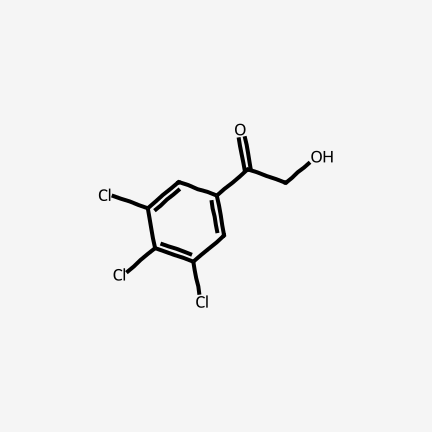 O=C(CO)c1cc(Cl)c(Cl)c(Cl)c1